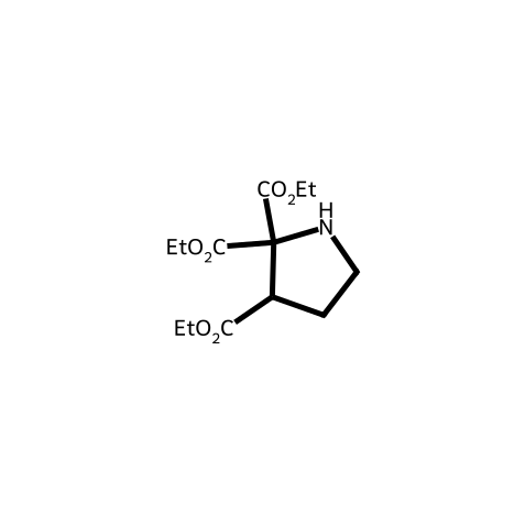 CCOC(=O)C1CCNC1(C(=O)OCC)C(=O)OCC